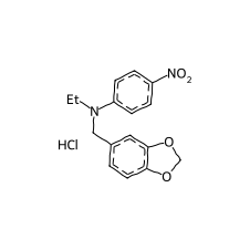 CCN(Cc1ccc2c(c1)OCO2)c1ccc([N+](=O)[O-])cc1.Cl